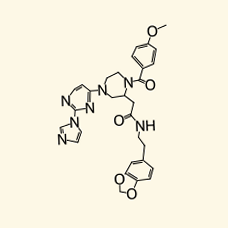 COc1ccc(C(=O)N2CCN(c3ccnc(-n4ccnc4)n3)CC2CC(=O)NCCc2ccc3c(c2)OCO3)cc1